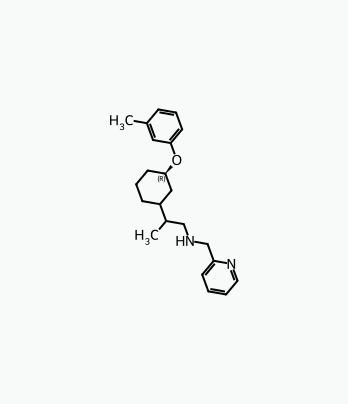 Cc1cccc(O[C@@H]2CCCC(C(C)CNCc3ccccn3)C2)c1